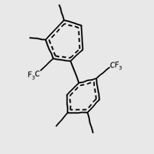 Cc1cc(-c2ccc(C)c(C)c2C(F)(F)F)c(C(F)(F)F)cc1C